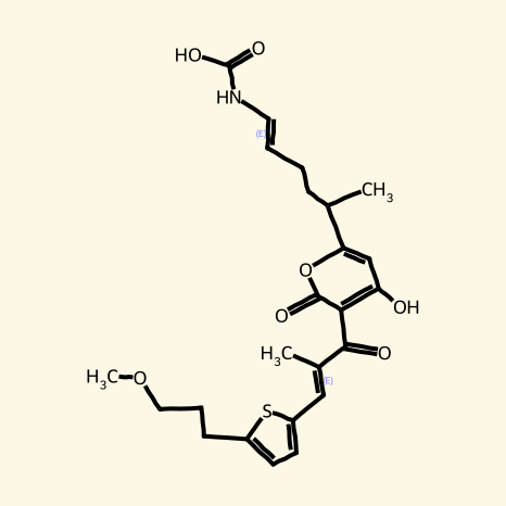 COCCCc1ccc(/C=C(\C)C(=O)c2c(O)cc(C(C)CC/C=C/NC(=O)O)oc2=O)s1